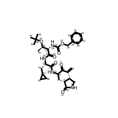 C=CC(=O)C(C[C@@H]1CCNC1=O)NC(=O)[C@H](CC1CC1)NC(=O)[C@@H](NC(=O)OCc1ccccc1)[C@@H](C)OC(C)(C)C